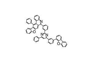 c1ccc(-c2cc(-c3cccc(-c4cccc5c4oc4ccccc45)c3)nc(-c3cccc(-c4nc5ccccc5c5c(-c6ccccc6)c6c(cc45)oc4ccccc46)c3)n2)cc1